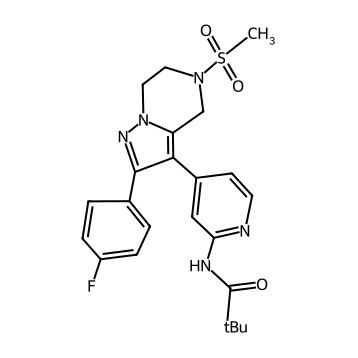 CC(C)(C)C(=O)Nc1cc(-c2c(-c3ccc(F)cc3)nn3c2CN(S(C)(=O)=O)CC3)ccn1